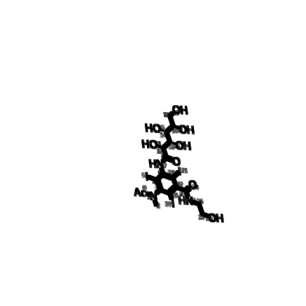 CC(=O)N(C)c1c(I)c(NC(=O)[C@@H](O)[C@@H](O)[C@H](O)[C@H](O)CO)c(I)c(C(=O)NCCO)c1I